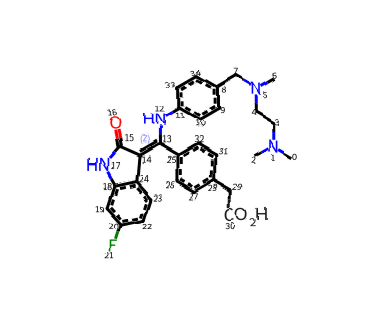 CN(C)CCN(C)Cc1ccc(N/C(=C2\C(=O)Nc3cc(F)ccc32)c2ccc(CC(=O)O)cc2)cc1